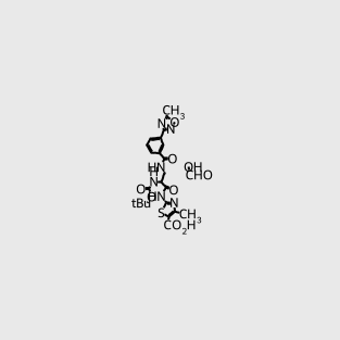 Cc1nc(-c2cccc(C(=O)NCC(NC(=O)OC(C)(C)C)C(=O)Nc3nc(C)c(C(=O)O)s3)c2)no1.O=CO